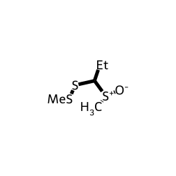 CCC(SSC)[S+](C)[O-]